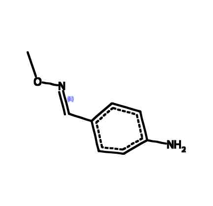 CO/N=C/c1ccc(N)cc1